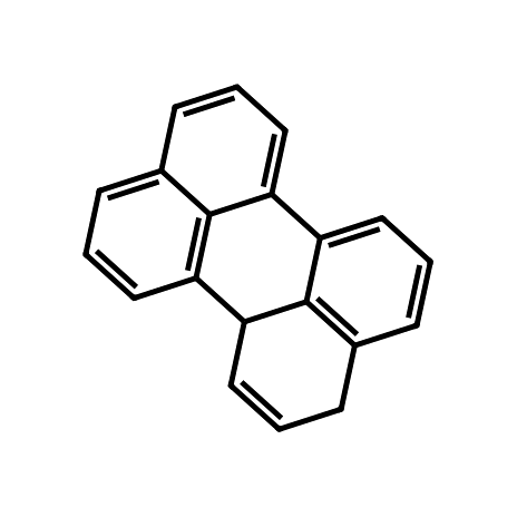 C1=CC2c3c(cccc3-c3cccc4cccc2c34)C1